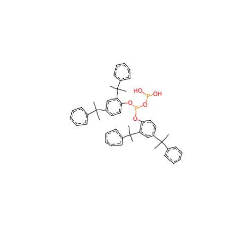 CC(C)(c1ccccc1)c1ccc(OP(Oc2ccc(C(C)(C)c3ccccc3)cc2C(C)(C)c2ccccc2)OP(O)O)c(C(C)(C)c2ccccc2)c1